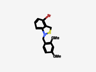 COc1ccc(CN2SCc3c(Br)cccc32)c(OC)c1